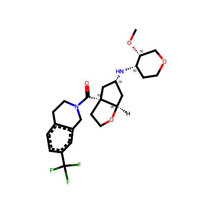 CO[C@@H]1COCC[C@@H]1N[C@@H]1C[C@H]2OCC[C@@]2(C(=O)N2CCc3ccc(C(F)(F)F)cc3C2)C1